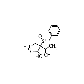 CCC(C(=O)O)(C(C)C)[S+]([O-])Cc1ccccc1